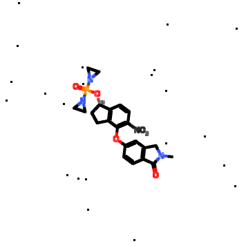 CN1Cc2cc(Oc3c([N+](=O)[O-])ccc4c3CC[C@@H]4OP(=O)(N3CC3)N3CC3)ccc2C1=O